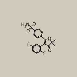 CC1(C)OC(c2ccc(S(N)(=O)=O)cc2)=C(c2cc(F)ccc2F)C1=O